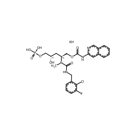 CN(C(=O)NCc1cccc(F)c1Cl)[C@H](COC(=O)Nc1cc2ccccc2cn1)C[C@H](O)COP(=O)(O)O.[KH]